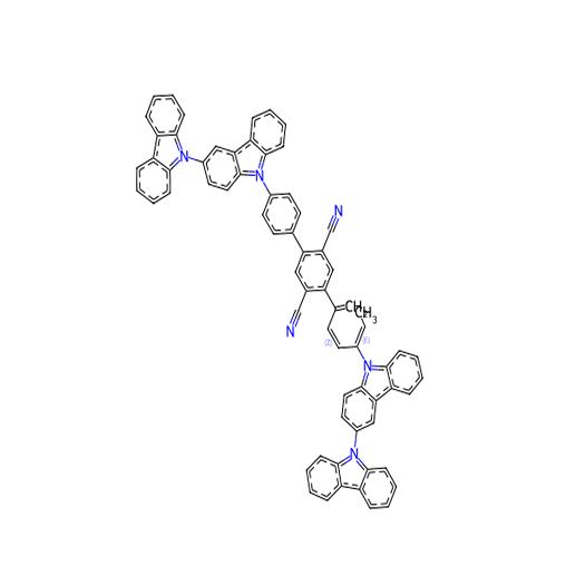 C=C(/C=C\C(=C/C)n1c2ccccc2c2cc(-n3c4ccccc4c4ccccc43)ccc21)c1cc(C#N)c(-c2ccc(-n3c4ccccc4c4cc(-n5c6ccccc6c6ccccc65)ccc43)cc2)cc1C#N